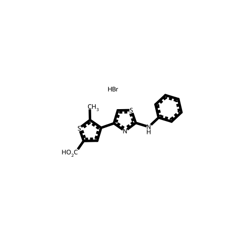 Br.Cc1sc(C(=O)O)cc1-c1csc(Nc2ccccc2)n1